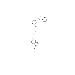 O=S(=O)(Nc1cccc([C@@H](O)CNCCOc2ccc3c(C(F)(F)F)n[nH]c3c2)c1)c1cccnc1